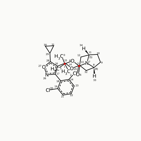 CC(C)(C)OC(=O)N1[C@@H]2CC[C@H]1CC(OCc1c(-c3c(Cl)cccc3Cl)noc1C1CC1)C2